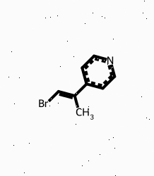 C/C(=C\Br)c1ccncc1